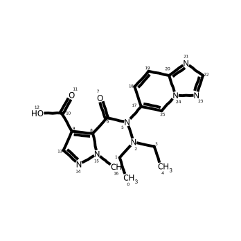 CCN(CC)N(C(=O)c1c(C(=O)O)cnn1C)c1ccc2ncnn2c1